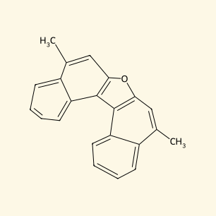 Cc1cc2oc3cc(C)c4ccccc4c3c2c2ccccc12